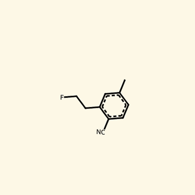 Cc1ccc(C#N)c(CCF)c1